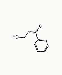 OC/C=C(/Cl)c1ccccc1